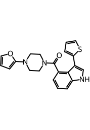 O=C(c1cccc2[nH]cc(-c3cccs3)c12)N1CCN(c2ccco2)CC1